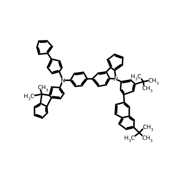 CC(C)(C)c1cc(-c2ccc3ccc(C(C)(C)C)cc3c2)cc(-n2c3ccccc3c3cc(-c4ccc(N(c5ccc(-c6ccccc6)cc5)c5ccc6c(c5)C(C)(C)c5ccccc5-6)cc4)ccc32)c1